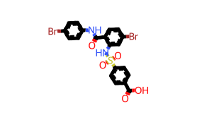 O=C(O)c1ccc(S(=O)(=O)Nc2cc(Br)ccc2C(=O)Nc2ccc(Br)cc2)cc1